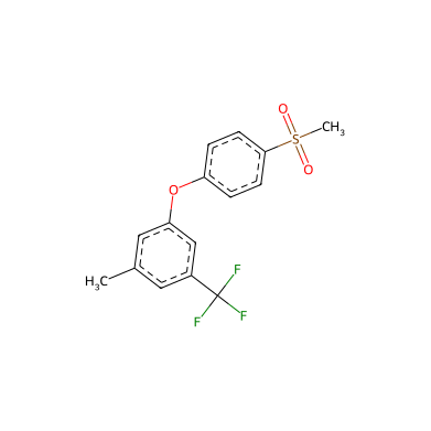 Cc1cc(Oc2ccc(S(C)(=O)=O)cc2)cc(C(F)(F)F)c1